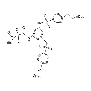 CCCCCCCCCCCCc1ccc(S(=O)(=O)Nc2cc(NC(=O)C(Cl)(Cl)C(=O)C(C)(C)C)cc(NS(=O)(=O)c3ccc(CCCCCCCCCCCC)cc3)c2)cc1